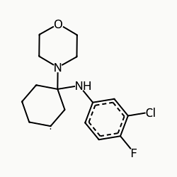 Fc1ccc(NC2(N3CCOCC3)C[CH]CCC2)cc1Cl